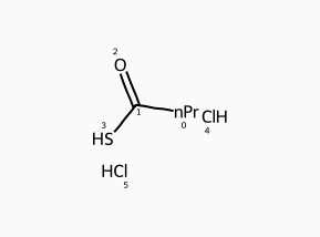 CCCC(=O)S.Cl.Cl